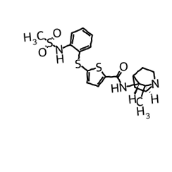 C[C@H]1[C@H](NC(=O)c2ccc(Sc3ccccc3NS(C)(=O)=O)s2)C2CCN1CC2